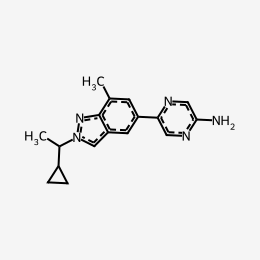 Cc1cc(-c2cnc(N)cn2)cc2cn(C(C)C3CC3)nc12